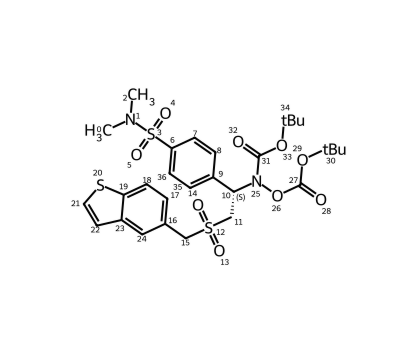 CN(C)S(=O)(=O)c1ccc([C@@H](CS(=O)(=O)Cc2ccc3sccc3c2)N(OC(=O)OC(C)(C)C)C(=O)OC(C)(C)C)cc1